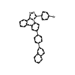 Brc1ccc(-c2nnc3c4ccccc4c4cc(-c5ccc(-c6ccc7ccccc7c6)cc5)ccc4n23)cc1